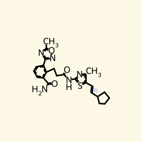 Cc1nc(-c2cccc(C(N)=O)c2CCC(=O)Nc2nc(C)c(/C=C/C3CCCC3)s2)no1